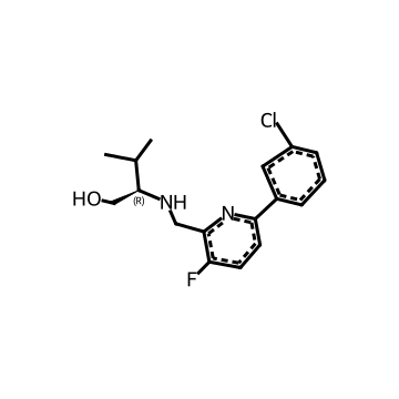 CC(C)[C@H](CO)NCc1nc(-c2cccc(Cl)c2)ccc1F